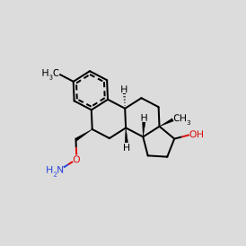 Cc1ccc2c(c1)[C@H](CON)C[C@@H]1[C@@H]2CC[C@]2(C)C(O)CC[C@H]12